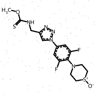 COC(=S)NCc1cn(-c2cc(F)c(N3CC[S+]([O-])CC3)c(F)c2)nn1